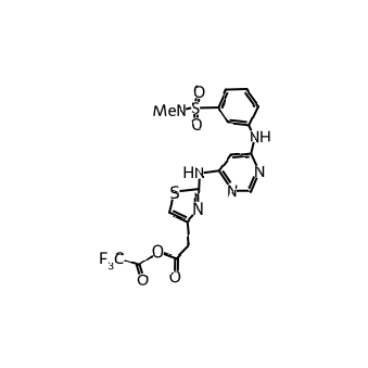 CNS(=O)(=O)c1cccc(Nc2cc(Nc3nc(CC(=O)OC(=O)C(F)(F)F)cs3)ncn2)c1